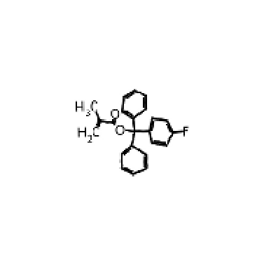 C=C(C)C(=O)OC(c1ccccc1)(c1ccccc1)c1ccc(F)cc1